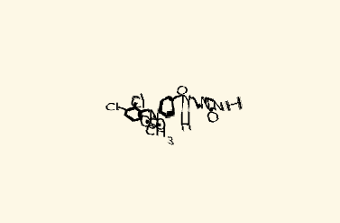 CS(=O)(=O)N(Cc1cccc(Cl)c1Cl)c1ccc(C(=O)NCCN2CCNC2=O)cc1